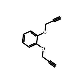 C#CCOc1ccccc1OCC#C